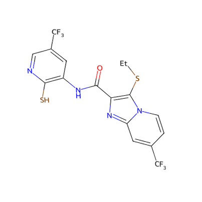 CCSc1c(C(=O)Nc2cc(C(F)(F)F)cnc2S)nc2cc(C(F)(F)F)ccn12